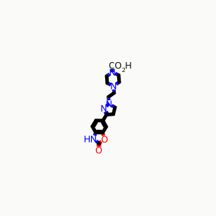 O=C(O)N1CCN(CCN2CCC(c3ccc4[nH]c(=O)oc4c3)=N2)CC1